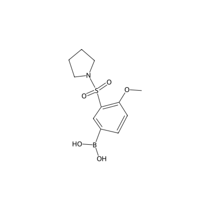 COc1ccc(B(O)O)cc1S(=O)(=O)N1CCCC1